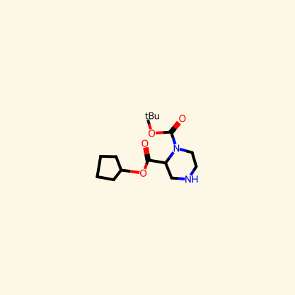 CC(C)(C)OC(=O)N1CCNCC1C(=O)OC1CCCC1